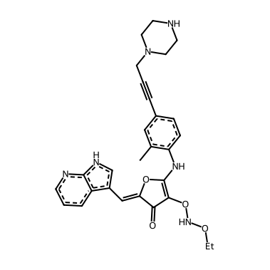 CCONOC1=C(Nc2ccc(C#CCN3CCNCC3)cc2C)O/C(=C\c2c[nH]c3ncccc23)C1=O